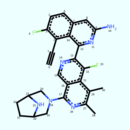 C#Cc1c(F)ccc2cc(N)nc(-c3ncc4c(N5CC6CCC(C5)N6)nc(C)c(C)c4c3F)c12